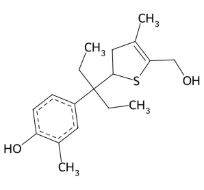 CCC(CC)(c1ccc(O)c(C)c1)C1CC(C)=C(CO)S1